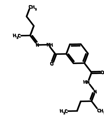 CCCC(C)=NNC(=O)c1cccc(C(=O)NN=C(C)CCC)c1